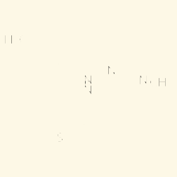 Cc1ccc2c(c1)Cc1c(-c3ccsc3)nn(CN3CCN(C)CC3)c1-2